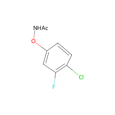 CC(=O)NOc1ccc(Cl)c(F)c1